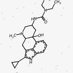 CCN(CC)C(=O)NC1CN(C)C2Cc3c(C4CC4)[nH]c4cccc(c34)C2(O)C1